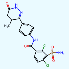 CC1CC(=O)NN=C1c1ccc(NC(=O)c2ccc(Cl)c(S(N)(=O)=O)c2Cl)cc1